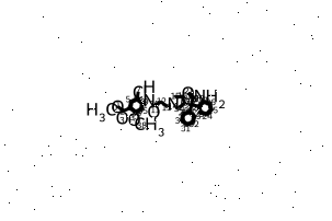 COC(=O)c1cc(Cl)c(NC(=O)CCN2CC[C@@H](C(C(N)=O)(c3ccccc3)c3ccccc3)C2)cc1OC